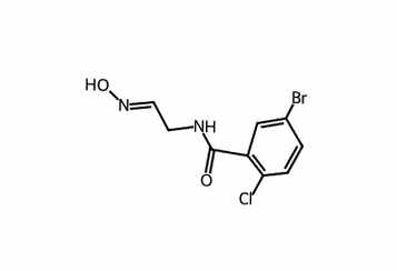 O=C(NCC=NO)c1cc(Br)ccc1Cl